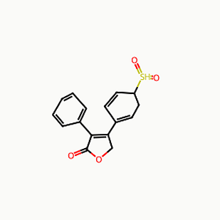 O=C1OCC(C2=CCC([SH](=O)=O)C=C2)=C1c1ccccc1